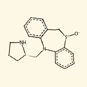 [O-][S+]1Cc2ccccc2N(C[C@@H]2CCCN2)c2ccccc21